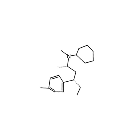 CC[C@@H](C[C@H](C)N(C)C1CCCCC1)c1ccc(C)cc1